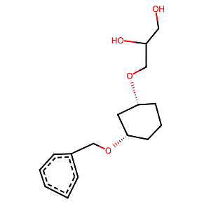 OCC(O)CO[C@@H]1CCC[C@H](OCc2ccccc2)C1